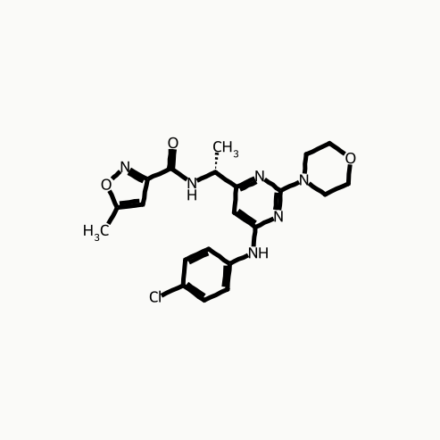 Cc1cc(C(=O)N[C@H](C)c2cc(Nc3ccc(Cl)cc3)nc(N3CCOCC3)n2)no1